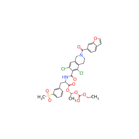 CCOC(=O)OC(C)OC(=O)C(Cc1cccc(S(C)(=O)=O)c1)NC(=O)c1c(Cl)cc2c(c1Cl)CCN(C(=O)c1ccc3ccoc3c1)C2